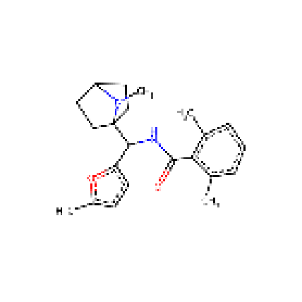 Cc1ccc(C(NC(=O)c2c(C)cccc2C)C23CCC(CC2)N3C)o1